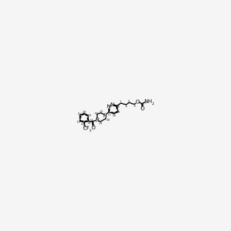 NC(=O)OCCCCc1ccc(N2CCN(C(=O)c3ccccc3C(F)(F)F)CC2)nn1